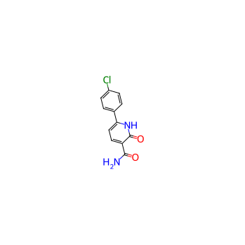 NC(=O)c1ccc(-c2ccc(Cl)cc2)[nH]c1=O